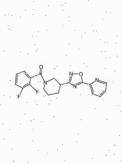 O=C(c1cccc(F)c1F)N1CCCC(c2noc(-c3ccccn3)n2)C1